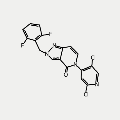 O=c1c2cn(Cc3c(F)cccc3F)nc2ccn1-c1cc(Cl)ncc1Cl